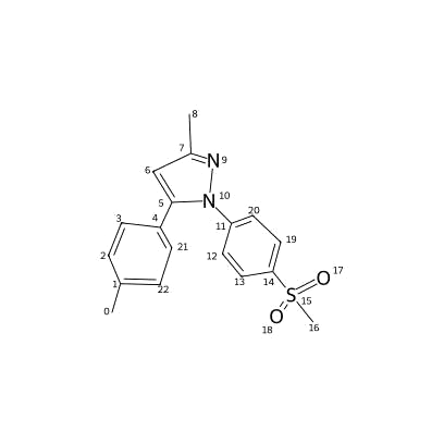 Cc1ccc(-c2cc(C)nn2-c2ccc(S(C)(=O)=O)cc2)cc1